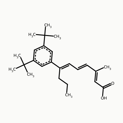 CCCC(=CC=CC(C)=CC(=O)O)c1cc(C(C)(C)C)cc(C(C)(C)C)c1